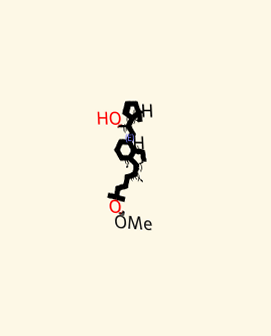 COCOC(C)(C)CCC[C@@H](C)[C@H]1CC[C@H]2/C(=C/[C@@H](CO)[C@@]34C=CC[C@@H]3C4)CCC[C@]12C